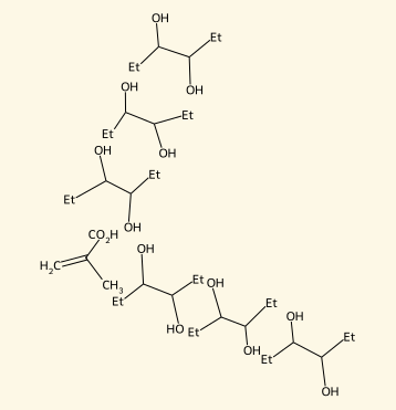 C=C(C)C(=O)O.CCC(O)C(O)CC.CCC(O)C(O)CC.CCC(O)C(O)CC.CCC(O)C(O)CC.CCC(O)C(O)CC.CCC(O)C(O)CC